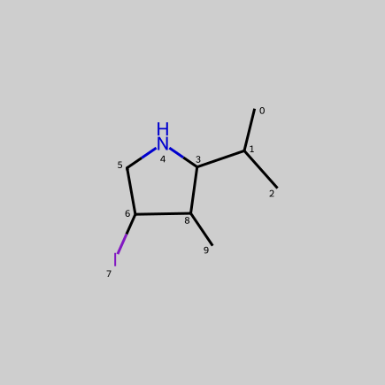 CC(C)C1NCC(I)C1C